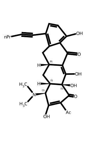 CCCC#Cc1ccc(O)c2c1C[C@H]1C[C@H]3[C@H](N(C)C)C(O)=C(C(C)=O)C(=O)[C@@]3(O)C(O)=C1C2=O